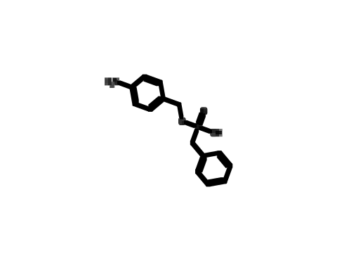 Nc1ccc(COP(=O)(O)Cc2ccccc2)cc1